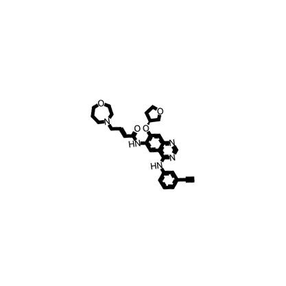 C#Cc1cccc(Nc2ncnc3cc(O[C@H]4CCOC4)c(NC(=O)/C=C/CN4CCCOCC4)cc23)c1